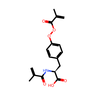 C=C(C)C(=O)N[C@@H](Cc1ccc(OOC(=O)C(=C)C)cc1)C(=O)O